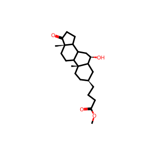 COC(=O)CCC[C@H]1CC[C@]2(C)C3CC[C@]4(C)C(=O)CCC4C3C[C@@H](O)C2C1